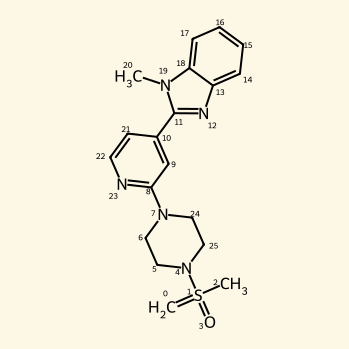 C=S(C)(=O)N1CCN(c2cc(-c3nc4ccccc4n3C)ccn2)CC1